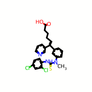 CN(C(=S)Nc1ccc(Cl)cc1Cl)c1cccc(/C(=C/CCCC(=O)O)c2cccnc2)c1